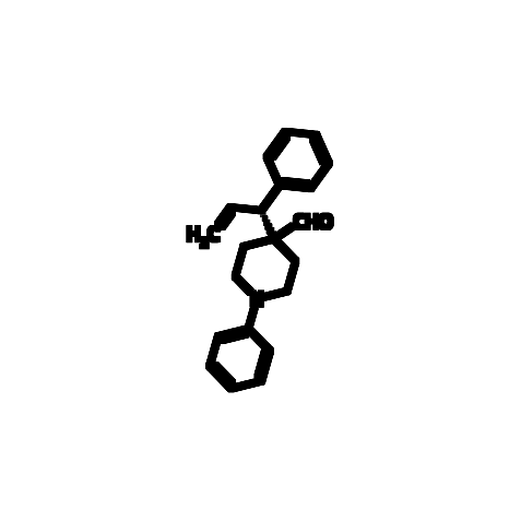 C=C[C@H](c1ccccc1)C1(C=O)CCN(c2ccccc2)CC1